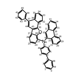 c1ccc(-c2ccc(N(c3cc4ccccc4c4ccccc34)c3cccc4c3oc3c5ccccc5c(-c5ccccc5)cc43)cc2)cc1